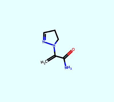 C=C(C(N)=O)N1CCC=N1